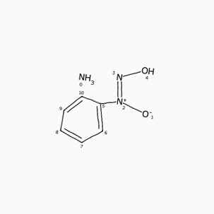 N.[O-]/[N+](=N\O)c1ccccc1